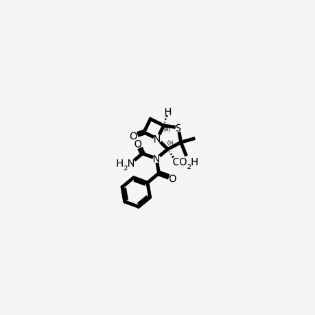 CC1(C)S[C@@H]2CC(=O)N2[C@]1(C(=O)O)N(C(N)=O)C(=O)c1ccccc1